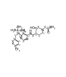 BC(B)(B)N(Cc1ccc(C(F)(F)F)cc1)c1ncnc(NC[C@@H]2CCN(CC(N)=O)C[C@H]2O)c1F